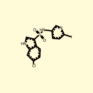 O=S(=O)(Nc1ccc(I)nc1)c1c[nH]c2cc(Cl)ccc12